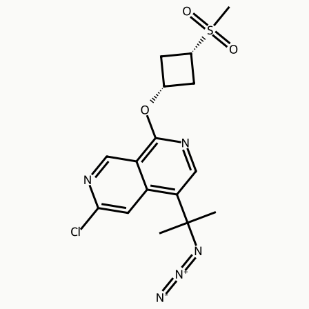 CC(C)(N=[N+]=[N-])c1cnc(O[C@H]2C[C@@H](S(C)(=O)=O)C2)c2cnc(Cl)cc12